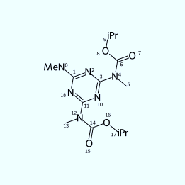 CNc1nc(N(C)C(=O)OC(C)C)nc(N(C)C(=O)OC(C)C)n1